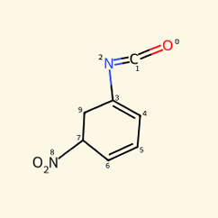 O=C=NC1=CC=CC([N+](=O)[O-])C1